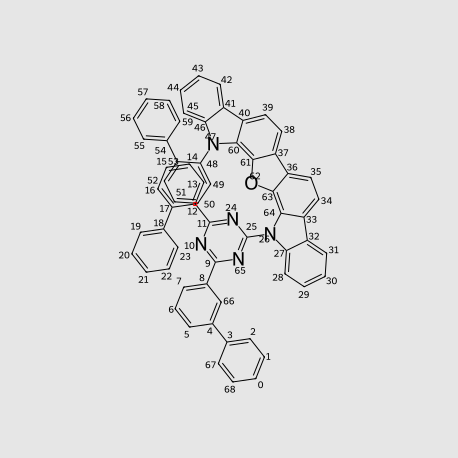 c1ccc(-c2cccc(-c3nc(-c4ccccc4-c4ccccc4)nc(-n4c5ccccc5c5ccc6c7ccc8c9ccccc9n(-c9ccccc9-c9ccccc9)c8c7oc6c54)n3)c2)cc1